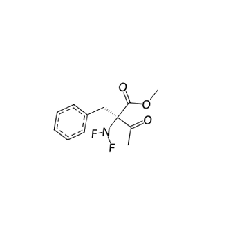 COC(=O)[C@@](Cc1ccccc1)(C(C)=O)N(F)F